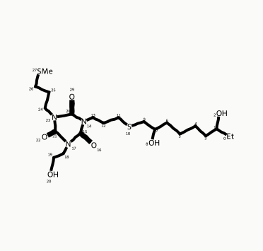 CCC(O)CCCCC(O)CSCCCn1c(=O)n(CCO)c(=O)n(CCCSC)c1=O